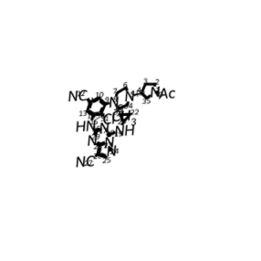 CC(=O)N1CC[C@H](N2CCN(c3cc(C#N)cc(Nc4nc(NC5CC5)n5ncc(C#N)c5n4)c3Cl)[C@@H](C)C2)C1